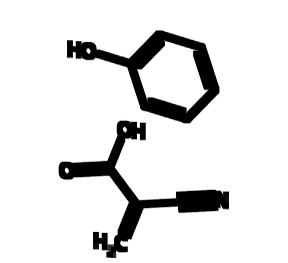 C=C(C#N)C(=O)O.Oc1ccccc1